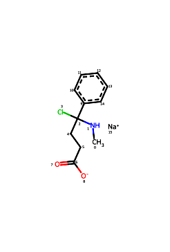 CNC(Cl)(CCC(=O)[O-])c1ccccc1.[Na+]